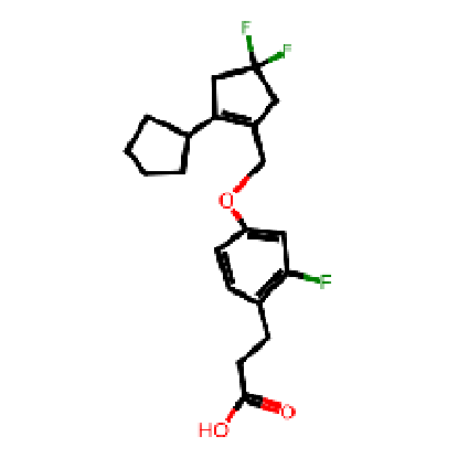 O=C(O)CCc1ccc(OCC2=C(C3CCCC3)CC(F)(F)C2)cc1F